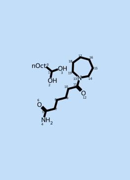 CCCCCCCCC(O)O.NC(=O)CCCCC(=O)N1CCCCCC1